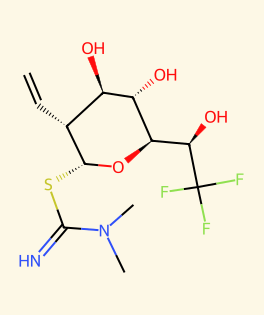 C=C[C@@H]1[C@@H](O)[C@H](O)[C@@H]([C@@H](O)C(F)(F)F)O[C@@H]1SC(=N)N(C)C